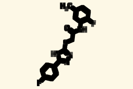 Cc1ccc(F)c(NC(=O)CSc2nnc(-c3ccc(F)cc3)[nH]2)c1